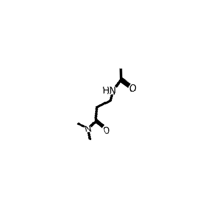 CC(=O)NCCC(=O)N(C)C